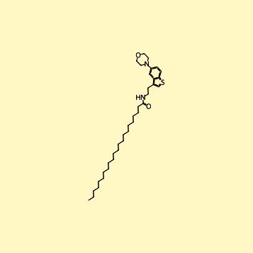 CCCCCCCCCCCCCCCCCCCCCC(=O)NCCc1csc2ccc(N3CCOCC3)cc12